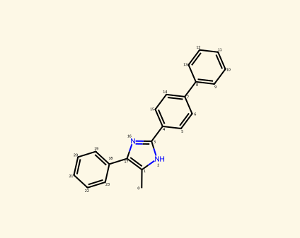 Cc1[nH]c(-c2ccc(-c3ccccc3)cc2)nc1-c1ccccc1